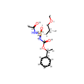 COC[C@H](C)C[S@](=O)(=NC(=O)O[C@@H](C)c1ccccc1)NC(C)=O